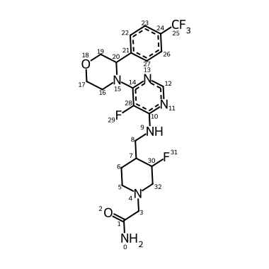 NC(=O)CN1CCC(CNc2ncnc(N3CCOCC3c3ccc(C(F)(F)F)cc3)c2F)C(F)C1